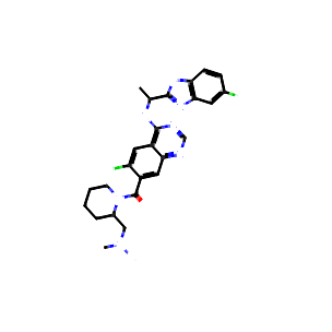 CCCCN(C)CC1CCCCN1C(=O)c1cc2ncnc(NC(C)c3nc4cc(Cl)ccc4[nH]3)c2cc1Cl